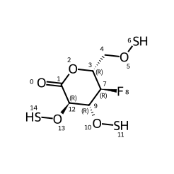 O=C1O[C@H](COS)[C@@H](F)[C@H](OS)[C@H]1OS